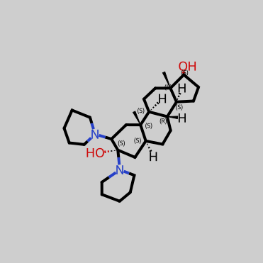 C[C@]12CC(N3CCCCC3)[C@](O)(N3CCCCC3)C[C@@H]1CC[C@@H]1[C@@H]2CC[C@]2(C)[C@@H](O)CC[C@@H]12